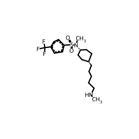 CNCCCCC[C@H]1CC[C@H](N(C)S(=O)(=O)c2ccc(C(F)(F)F)cc2)CC1